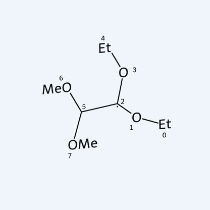 CCO[C](OCC)C(OC)OC